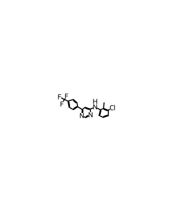 Cc1c(Cl)cccc1Nc1cc(-c2ccc(C(F)(F)F)cc2)ncn1